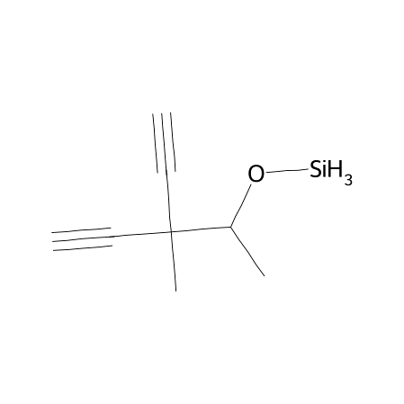 C#CC(C)(C#C)C(C)O[SiH3]